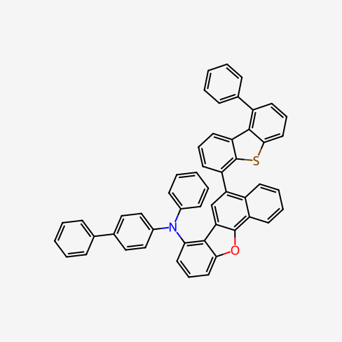 c1ccc(-c2ccc(N(c3ccccc3)c3cccc4oc5c6ccccc6c(-c6cccc7c6sc6cccc(-c8ccccc8)c67)cc5c34)cc2)cc1